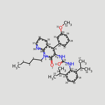 CCCCCn1c(=O)c(NC(=O)Nc2c(C(C)C)cccc2C(C)C)c(-c2cccc(OC)c2)c2cccnc21